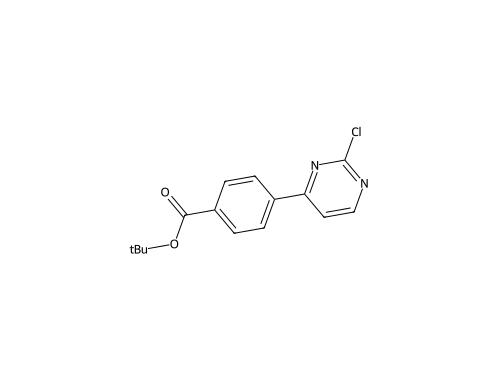 CC(C)(C)OC(=O)c1ccc(-c2ccnc(Cl)n2)cc1